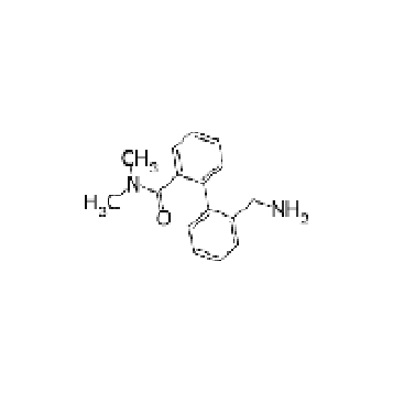 CN(C)C(=O)c1ccccc1-c1ccccc1CN